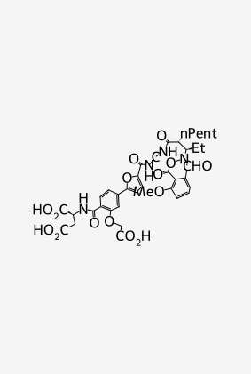 CCCCC[C@@H](C(=O)NCNC(=O)c1ccc(-c2ccc(C(=O)N[C@@H](CC(=O)O)C(=O)O)c(OCC(=O)O)c2)o1)[C@@H](CC)N(C=O)OC(=O)c1c(C)cccc1OC